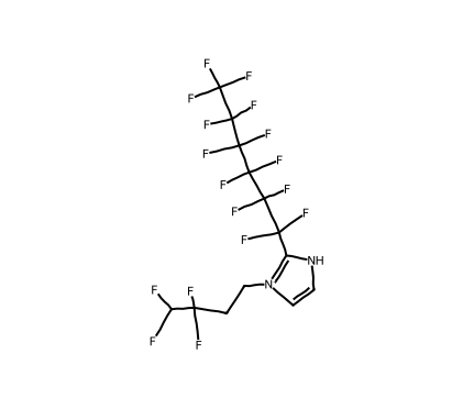 FC(F)C(F)(F)CC[n+]1cc[nH]c1C(F)(F)C(F)(F)C(F)(F)C(F)(F)C(F)(F)C(F)(F)F